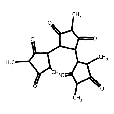 CC1C(=O)C(C)C(C2C(=O)C(C)C(=O)C2C2C(=O)C(C)C(=O)C2C)C1=O